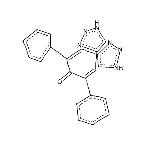 O=C(/C(=C\c1c[nH]nn1)c1ccccc1)/C(=C\c1c[nH]nn1)c1ccccc1